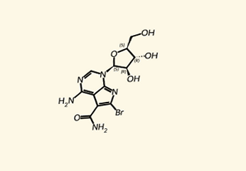 NC(=O)c1c(Br)nc2n([C@H]3O[C@@H](CO)[C@H](O)[C@H]3O)cnc(N)c1-2